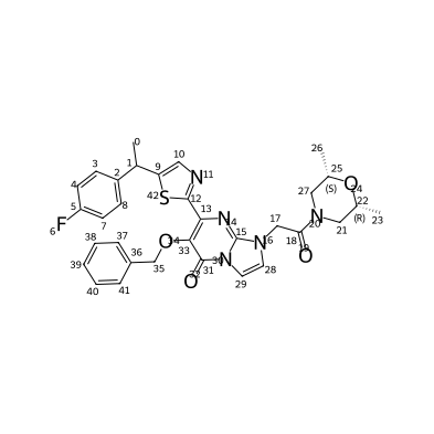 CC(c1ccc(F)cc1)c1cnc(-c2nc3n(CC(=O)N4C[C@@H](C)O[C@@H](C)C4)ccn3c(=O)c2OCc2ccccc2)s1